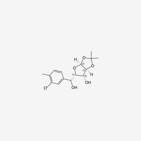 Cc1ccc(C(O)[C@@H]2O[C@H]3OC(C)(C)O[C@H]3[C@@H]2O)cc1Cl